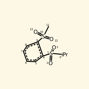 CC(C)S(=O)(=O)c1ccccc1S(C)(=O)=O